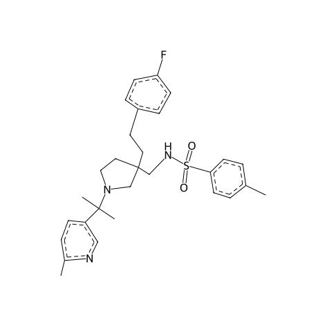 Cc1ccc(S(=O)(=O)NCC2(CCc3ccc(F)cc3)CCN(C(C)(C)c3ccc(C)nc3)C2)cc1